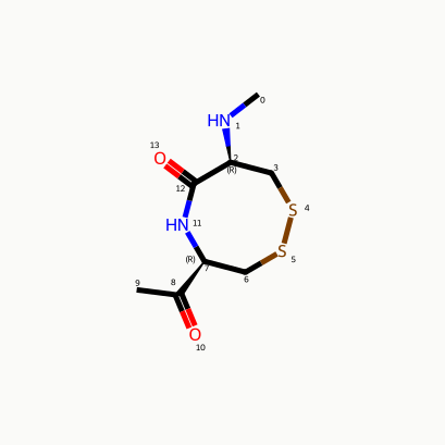 CN[C@H]1CSSC[C@@H](C(C)=O)NC1=O